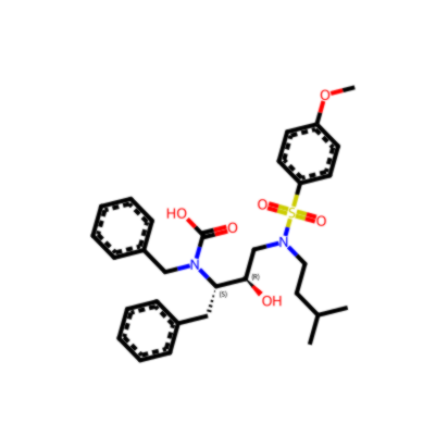 COc1ccc(S(=O)(=O)N(CCC(C)C)C[C@@H](O)[C@H](Cc2ccccc2)N(Cc2ccccc2)C(=O)O)cc1